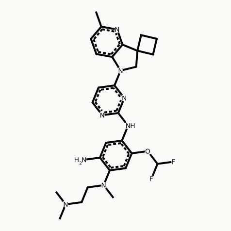 Cc1ccc2c(n1)C1(CCC1)CN2c1ccnc(Nc2cc(N)c(N(C)CCN(C)C)cc2OC(F)F)n1